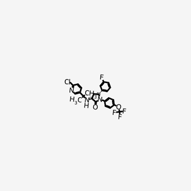 CC(C)(N[C@H]1C[C@H](c2cccc(F)c2)N(c2ccc(OC(F)(F)F)cc2)C1=O)c1ccc(Cl)nc1